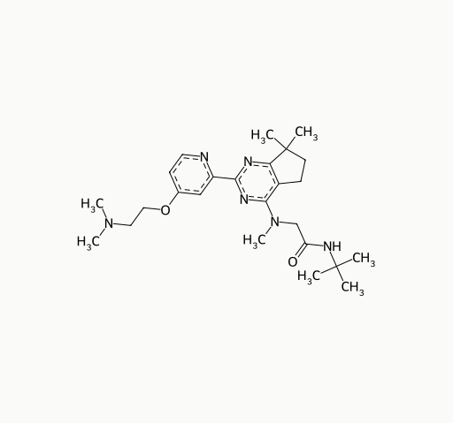 CN(C)CCOc1ccnc(-c2nc(N(C)CC(=O)NC(C)(C)C)c3c(n2)C(C)(C)CC3)c1